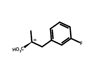 C[C@@H](Cc1cccc(F)c1)C(=O)O